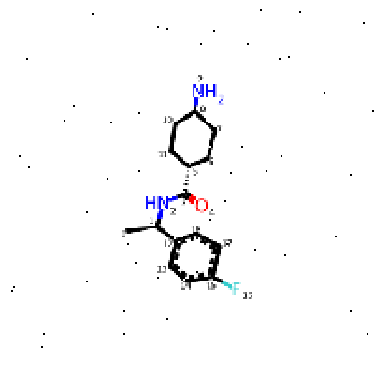 C[C@@H](NC(=O)[C@H]1CC[C@H](N)CC1)c1ccc(F)cc1